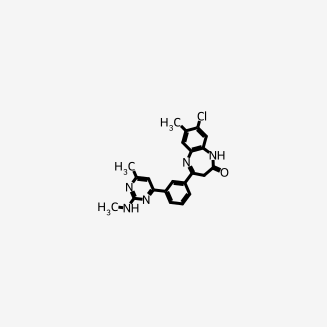 CNc1nc(C)cc(-c2cccc(C3=Nc4cc(C)c(Cl)cc4NC(=O)C3)c2)n1